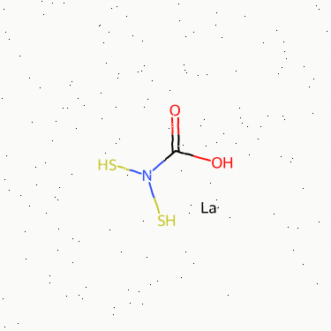 O=C(O)N(S)S.[La]